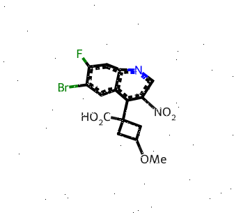 COC1CC(C(=O)O)(c2c([N+](=O)[O-])cnc3cc(F)c(Br)cc23)C1